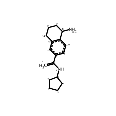 C=C(NC1CCCC1)c1ccc2c(c1)CCCC2N